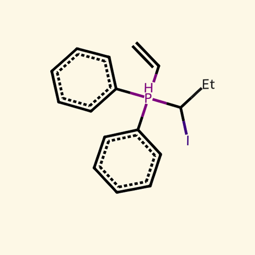 C=C[PH](c1ccccc1)(c1ccccc1)C(I)CC